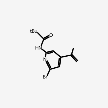 C=C(C)c1cc(Br)nc(NC(=O)C(C)(C)C)c1